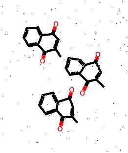 CC1=CC(=O)c2ccccc2C1=O.CC1=CC(=O)c2ccccc2C1=O.CC1=CC(=O)c2ccccc2C1=O